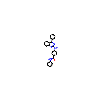 O=C(Nc1ccccc1)c1ccc(Nc2nc(-c3ccccc3)c3ccccc3n2)cc1